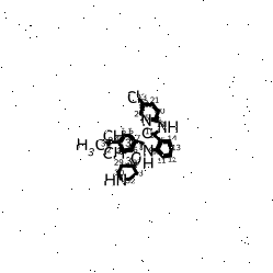 CC(C)(C)c1ccc(CNc2ccccc2C(=O)Nc2ccc(Cl)cn2)c(OC2CCNCC2)c1